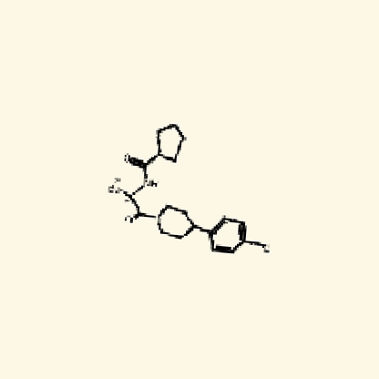 CC[C@H](C)[C@@H](NC(=O)C1CCCC1)C(=O)N1CCC(c2ccc(Cl)cc2)CC1